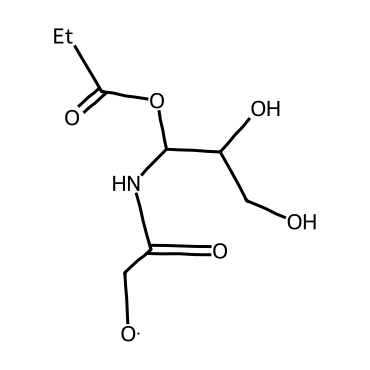 CCC(=O)OC(NC(=O)C[O])C(O)CO